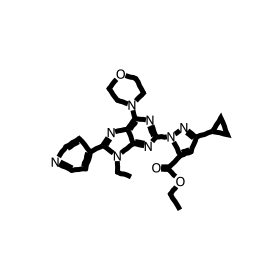 CCOC(=O)c1cc(C2CC2)nn1-c1nc(N2CCOCC2)c2nc(-c3ccncc3)n(CC)c2n1